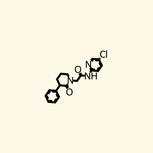 O=C(CN1CCCC(c2ccccc2)C1=O)Nc1ccc(Cl)cn1